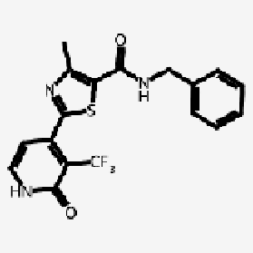 Cc1nc(-c2cc[nH]c(=O)c2C(F)(F)F)sc1C(=O)NCc1ccccc1